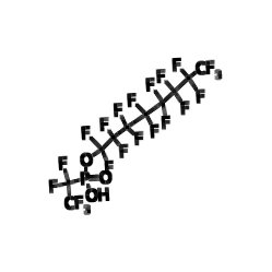 O=P(O)(OC(F)(F)C(F)(F)C(F)(F)C(F)(F)C(F)(F)C(F)(F)C(F)(F)C(F)(F)F)C(F)(F)C(F)(F)F